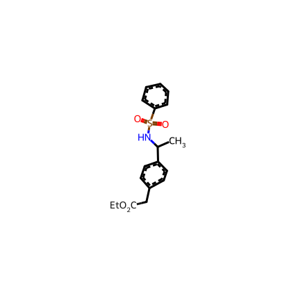 CCOC(=O)Cc1ccc(C(C)NS(=O)(=O)c2ccccc2)cc1